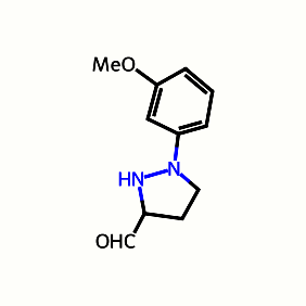 COc1cccc(N2CCC(C=O)N2)c1